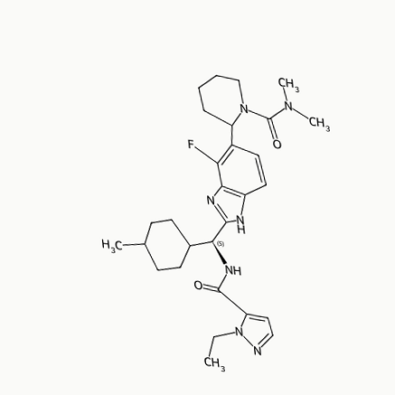 CCn1nccc1C(=O)N[C@H](c1nc2c(F)c(C3CCCCN3C(=O)N(C)C)ccc2[nH]1)C1CCC(C)CC1